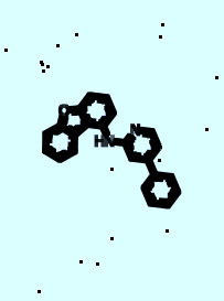 c1ccc(-c2ccnc(Nc3cccc4oc5ccccc5c34)c2)cc1